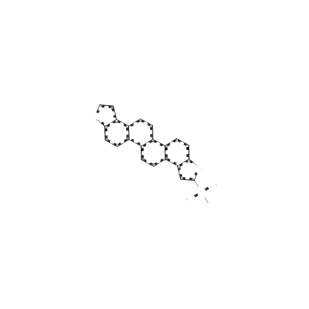 CS(=O)(=O)c1cc2c(ccc3c2ccc2c4ccc5sccc5c4ccc32)s1